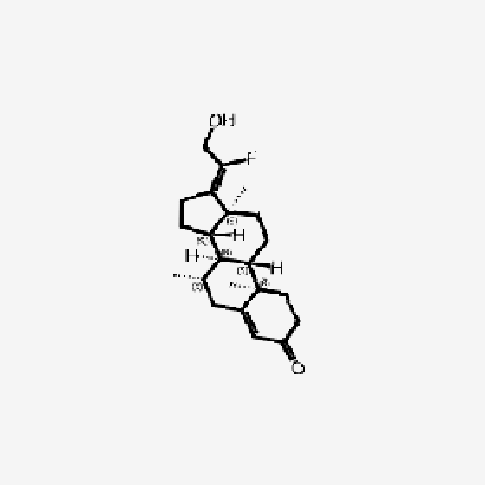 C[C@H]1CC2=CC(=O)CC[C@]2(C)[C@H]2CC[C@]3(C)C(=C(F)CO)CC[C@H]3[C@H]12